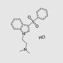 CN(C)CCn1cc(S(=O)(=O)c2ccccc2)c2ccccc21.Cl